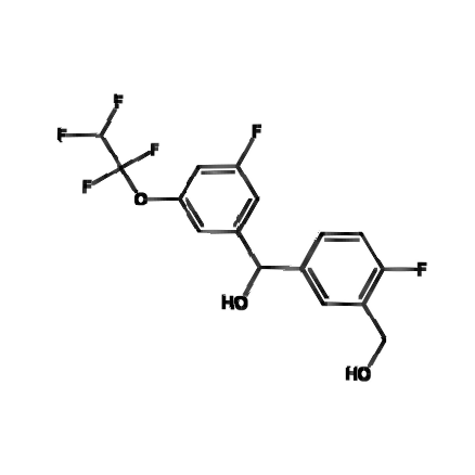 OCc1cc(C(O)c2cc(F)cc(OC(F)(F)C(F)F)c2)ccc1F